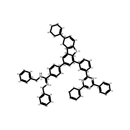 C1=CCCC(c2nc(-c3ccccc3)nc(-c3cccc(-c4cc(-c5ccc(/C(=N/Cc6ccccc6)NCc6ccccc6)cc5)cc5c6c(sc45)C=CC(C4=CCCCC4)C6)c3)n2)=C1